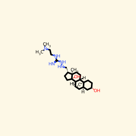 CN(C)CCNC(=N)NNC[C@H]1CC[C@]2(O)[C@@H]3CC[C@@H]4C[C@@H](O)CC[C@]4(C)[C@H]3CC[C@]12C